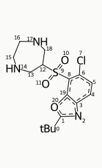 CC(C)(C)c1nc2ccc(Cl)c(S(=O)(=O)C3CNCCNC3)c2o1